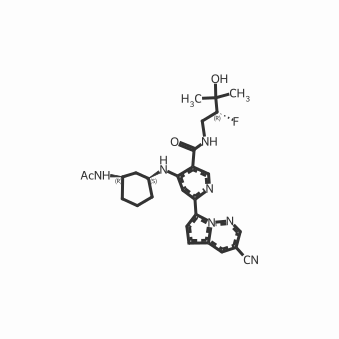 CC(=O)N[C@@H]1CCC[C@H](Nc2cc(-c3ccc4cc(C#N)cnn34)ncc2C(=O)NC[C@@H](F)C(C)(C)O)C1